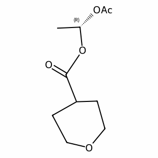 CC(=O)O[C@@H](C)OC(=O)C1CCOCC1